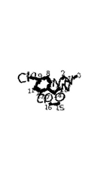 Cn1cnc(C2(c3ccc(Cl)cc3Cl)OCCO2)n1